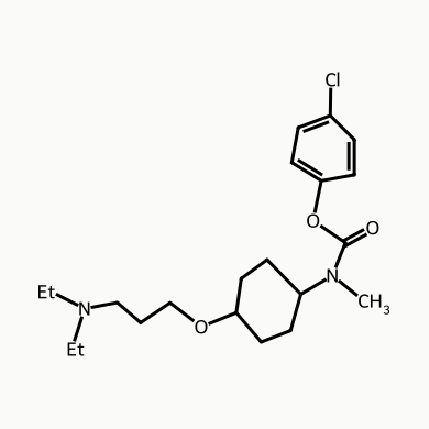 CCN(CC)CCCOC1CCC(N(C)C(=O)Oc2ccc(Cl)cc2)CC1